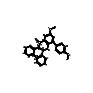 COc1ccc(-c2cc(OC)cc(OC)c2CN(C(=O)c2ccccc2I)c2ccccc2)cc1